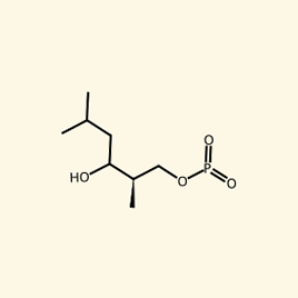 CC(C)CC(O)[C@H](C)COP(=O)=O